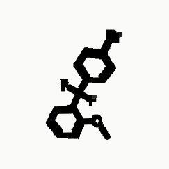 COc1ccccc1C(F)(F)c1ccc(Br)cc1